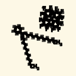 CCCCCCCCCCCC[NH+](CCCCCCCCCCCC)c1ccccc1.Fc1c(F)c(F)c([B-](c2c(F)c(F)c(F)c(F)c2F)(c2c(F)c(F)c(F)c(F)c2F)c2c(F)c(F)c(F)c(F)c2F)c(F)c1F